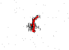 CCOCCOCCC(=O)N1CCN(CCOC(=O)N(CCN(CC)CC)C(=O)c2c(C)[nH]c(/C=C3\C(=O)Nc4ccc(F)cc43)c2C)CC1